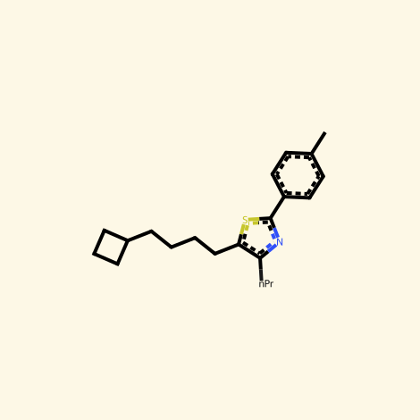 CCCc1nc(-c2ccc(C)cc2)sc1CCCCC1CCC1